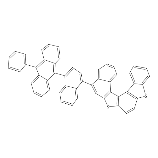 c1ccc(-c2c3ccccc3c(-c3ccc(-c4cc5sc6ccc7sc8ccccc8c7c6c5c5ccccc45)c4ccccc34)c3ccccc23)cc1